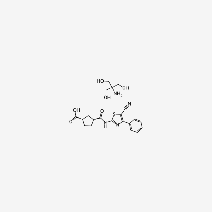 N#Cc1sc(NC(=O)[C@H]2CC[C@@H](C(=O)O)C2)nc1-c1ccccc1.NC(CO)(CO)CO